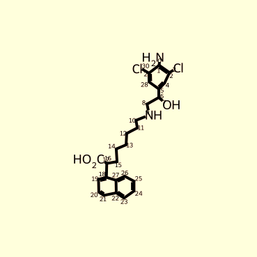 Nc1c(Cl)cc(C(O)CNCCCCCCC(C(=O)O)c2cccc3ccccc23)cc1Cl